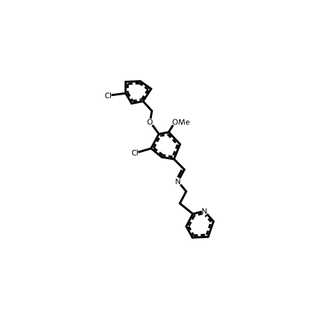 COc1cc(/C=N/CCc2ccccn2)cc(Cl)c1OCc1cccc(Cl)c1